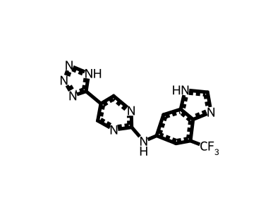 FC(F)(F)c1cc(Nc2ncc(-c3nnn[nH]3)cn2)cc2[nH]cnc12